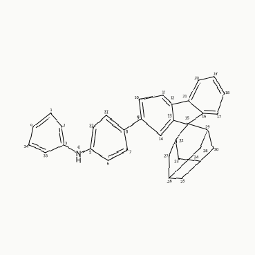 c1ccc(Nc2ccc(-c3ccc4c(c3)C3(c5ccccc5-4)C4CC5CC(C4)CC3C5)cc2)cc1